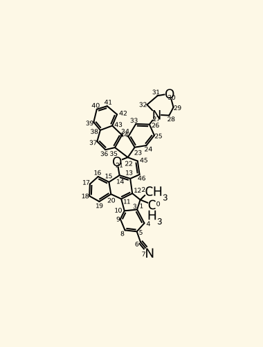 CC1(C)c2cc(C#N)ccc2-c2c1c1c(c3ccccc23)OC(c2ccc(N3CCOCC3)cc2)(c2ccc3ccccc3c2)C=C1